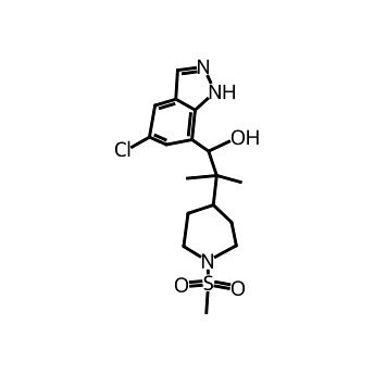 CC(C)(C1CCN(S(C)(=O)=O)CC1)C(O)c1cc(Cl)cc2cn[nH]c12